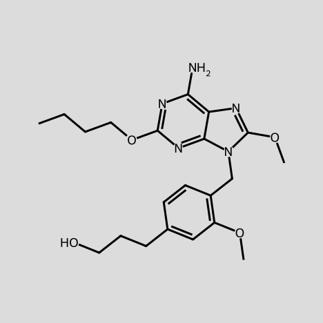 CCCCOc1nc(N)c2nc(OC)n(Cc3ccc(CCCO)cc3OC)c2n1